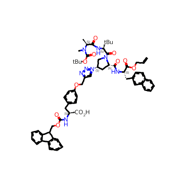 C=CCOC(=O)[C@H](Cc1ccc2ccccc2c1)NC(=O)[C@@H]1C[C@H](n2cc(COc3ccc(C[C@H](NC(=O)OCC4c5ccccc5-c5ccccc54)C(=O)O)cc3)nn2)CN1C(=O)[C@@H](NC(=O)[C@H](C)N(C)C(=O)OC(C)(C)C)C(C)(C)C